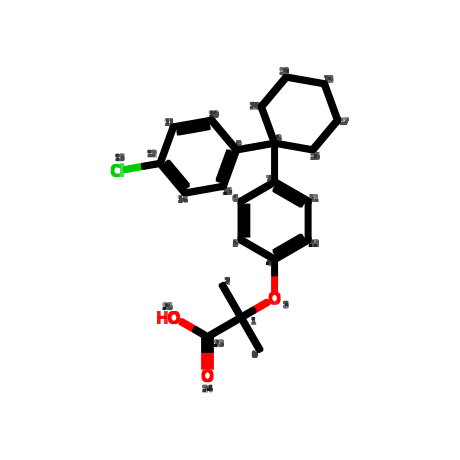 CC(C)(Oc1ccc(C2(c3ccc(Cl)cc3)CCCCC2)cc1)C(=O)O